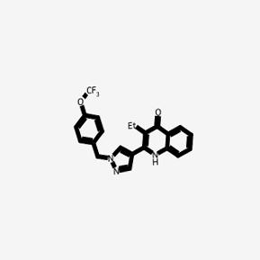 CCc1c(-c2cnn(Cc3ccc(OC(F)(F)F)cc3)c2)[nH]c2ccccc2c1=O